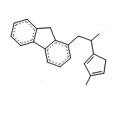 CC1=CCC(C(C)Cc2cccc3c2Cc2ccccc2-3)=C1.Cl.Cl.[Zr]